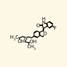 CC(O)CN(CCc1ccc2c(c1)COC2=C1C(=O)Nc2ccc(F)cc21)CC(C)O